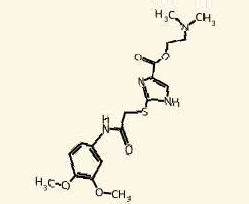 COc1ccc(NC(=O)CSc2nc(C(=O)OCCN(C)C)c[nH]2)cc1OC